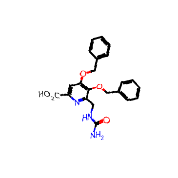 NC(=O)NCc1nc(C(=O)O)cc(OCc2ccccc2)c1OCc1ccccc1